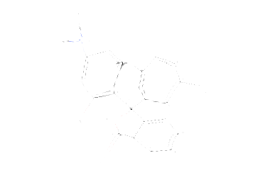 COc1ccc(C)cc1C1(c2ccc(N(C)C)cc2O)OC(=O)c2ccccc21